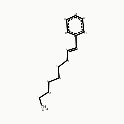 CCCCCCC/C=C/c1c[c]ccc1